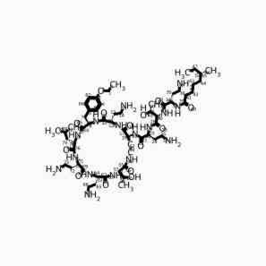 CCOc1ccc(C[C@H]2NC(=O)[C@H](CCN)NC(=O)[C@@H](NC(=O)[C@H](CCN)NC(=O)[C@@H](NC(=O)[C@H](CCN)NC(=O)CCCC[C@@H](C)CC)[C@@H](C)O)CCNC(=O)[C@H]([C@@H](C)O)NC(=O)[C@H](CCN)NC(=O)[C@H](CCN)NC(=O)[C@H](CC(C)C)NC2=O)cc1